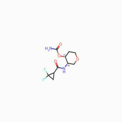 NC(=O)O[C@H]1CCOC[C@H]1NC(=O)C1CC1(F)F